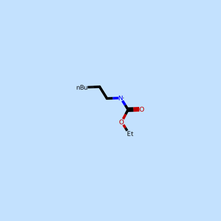 CCCCCC[N]C(=O)OCC